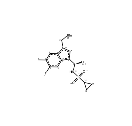 Cc1cc2c(cc1F)c([C@H](NS(=O)(=O)C1CC1)C(F)(F)F)cn2CC(C)(C)C